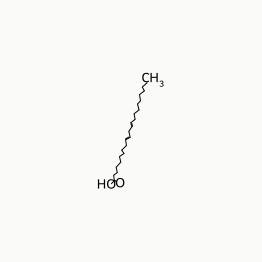 CCCCCCCCCCC=CCC=CCCCCCCCCC(=O)O